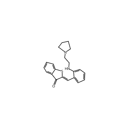 O=C1C(=Cc2ccccc2NCCN2CCCC2)Sc2ccccc21